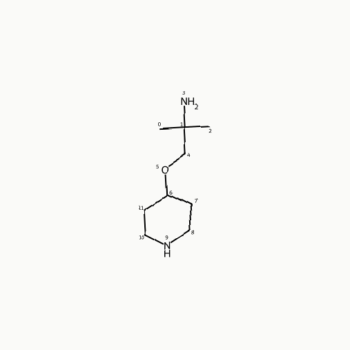 CC(C)(N)COC1CCNCC1